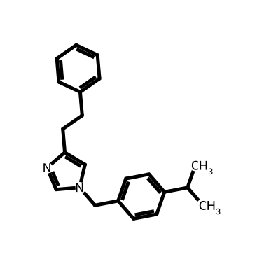 CC(C)c1ccc(Cn2cnc(CCc3ccccc3)c2)cc1